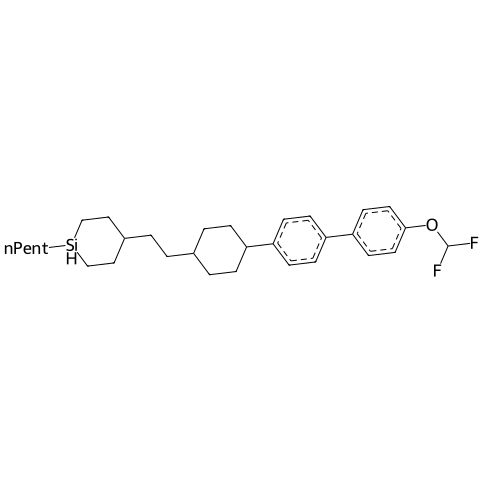 CCCCC[SiH]1CCC(CCC2CCC(c3ccc(-c4ccc(OC(F)F)cc4)cc3)CC2)CC1